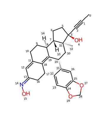 CC#C[C@@]1(O)CC[C@H]2[C@@H]3CCC4=C/C(=N/O)CCC4=C3[C@@H](c3ccc4c(c3)OCO4)C[C@@]21C